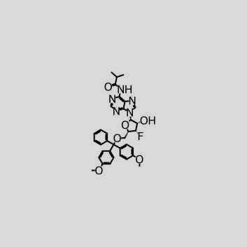 COc1ccc(C(OC[C@H]2O[C@@H](n3cnc4c(NC(=O)C(C)C)ncnc43)[C@H](O)[C@@H]2F)(c2ccccc2)c2ccc(OC)cc2)cc1